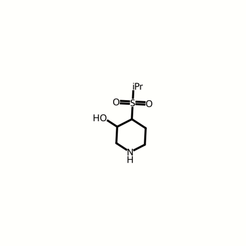 CC(C)S(=O)(=O)C1CCNCC1O